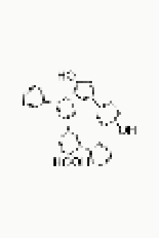 OC1(O)C=CC(c2cccc(-c3ccccc3)c2)C=C1c1ccccc1.Oc1ccc(-c2ccc(O)cc2)cc1